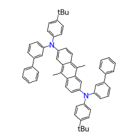 Cc1c2ccc(N(c3ccc(C(C)(C)C)cc3)c3cccc(-c4ccccc4)c3)cc2c(C)c2ccc(N(c3ccc(C(C)(C)C)cc3)c3cccc(-c4ccccc4)c3)cc12